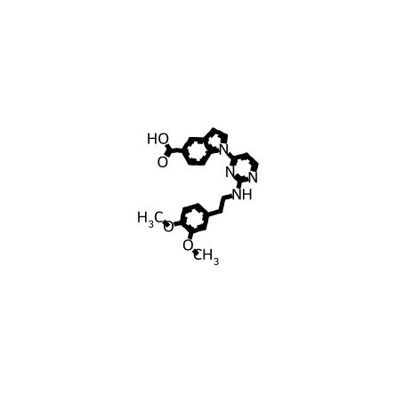 COc1ccc(CCNc2nccc(-n3ccc4cc(C(=O)O)ccc43)n2)cc1OC